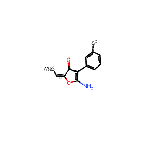 CS/C=C1/OC(N)=C(c2cccc(C(F)(F)F)c2)C1=O